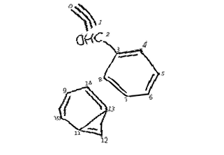 C#C.O=Cc1ccccc1.c1cc2cc-2c1